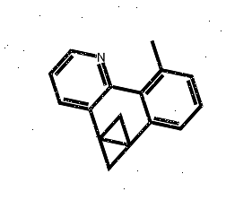 Cc1cccc2c1-c1ncccc1C13CC21C3